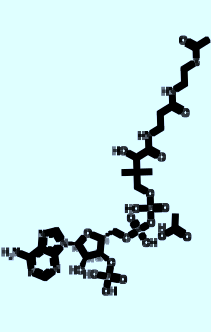 CC(=O)O.CC(=O)SCCNC(=O)CCNC(=O)C(O)C(C)(C)COP(=O)(O)OP(=O)(O)OC[C@H]1O[C@@H](n2cnc3c(N)ncnc32)[C@H](O)[C@@H]1OP(=O)(O)O